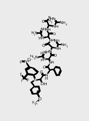 COc1ccc(CN(c2ccc([N+](=O)[O-])cc2C(F)(F)F)C(O)C(=O)NC(C(=O)NC(NC(=N)N)C(=O)NC(NC(=N)N)C(=O)NC(NC(=N)N)C(=O)NC(NC(=N)N)C(N)=O)c2ccccc2)cc1